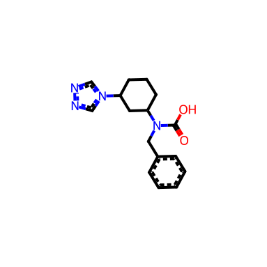 O=C(O)N(Cc1ccccc1)C1CCCC(n2cnnc2)C1